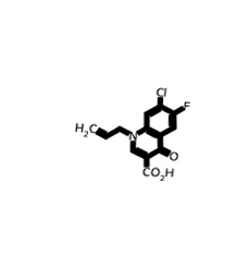 C=CCn1cc(C(=O)O)c(=O)c2cc(F)c(Cl)cc21